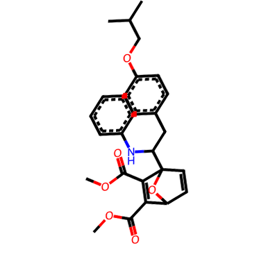 COC(=O)C1=C(C(=O)OC)C2(C(Cc3ccc(OCC(C)C)cc3)Nc3ccccc3)C=CC1O2